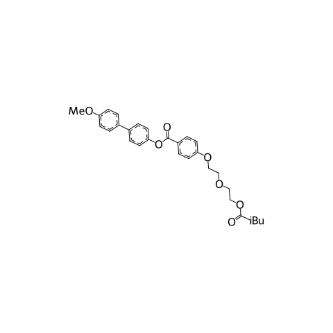 CCC(C)C(=O)OCCOCCOc1ccc(C(=O)Oc2ccc(-c3ccc(OC)cc3)cc2)cc1